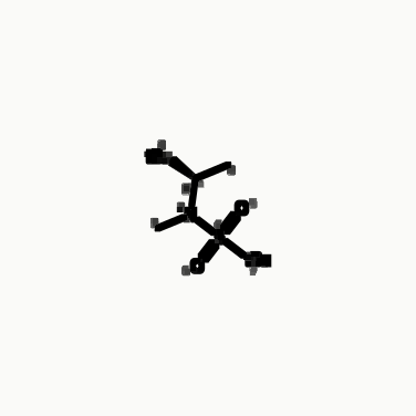 C[C@@H](N(C)S(=O)(=O)C(C)(C)C)C(C)(C)C